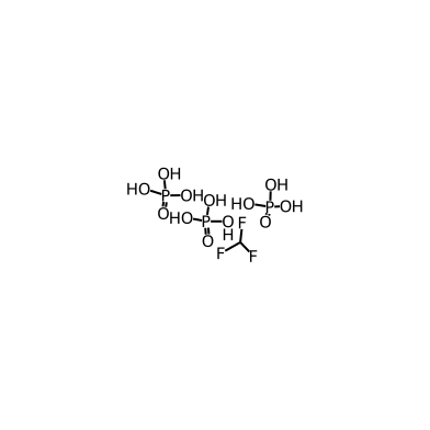 FC(F)F.O=P(O)(O)O.O=P(O)(O)O.O=P(O)(O)O